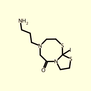 NCCCN1CCSC2(I)SCCN2C(=O)C1